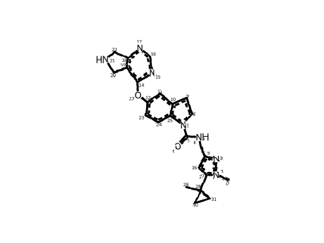 Cn1nc(NC(=O)n2ccc3cc(Oc4ncnc5c4CNC5)ccc32)cc1C1(C)CC1